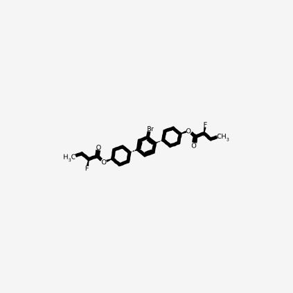 CC[C@H](F)C(=O)O[C@H]1CC[C@H](c2ccc([C@H]3CC[C@H](OC(=O)[C@@H](F)CC)CC3)c(Br)c2)CC1